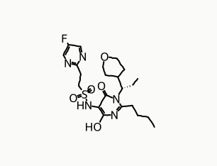 CCCCc1nc(O)c(NS(=O)(=O)CCc2ncc(F)cn2)c(=O)n1[C@@H](CC)C1CCOCC1